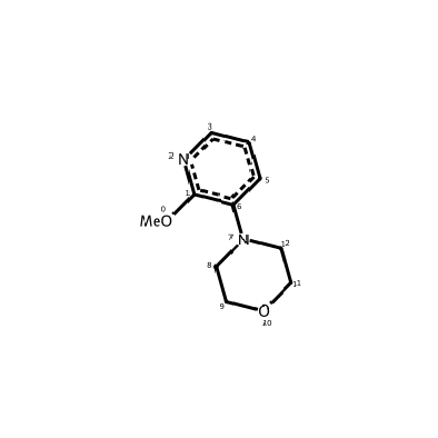 COc1ncccc1N1CCOCC1